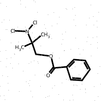 CC(C)(COC(=O)c1ccccc1)N(Cl)Cl